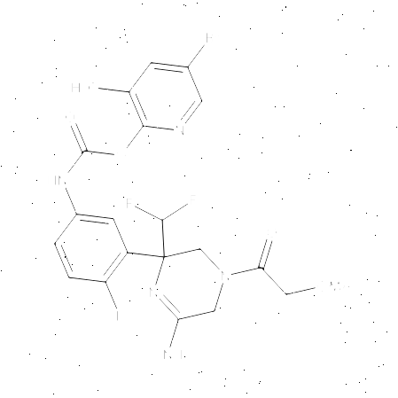 COCC(=O)N1CC(N)=NC(c2cc(NC(=O)Oc3ncc(Br)cc3C)ccc2F)(C(F)F)C1